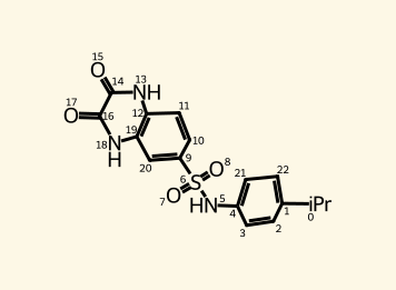 CC(C)c1ccc(NS(=O)(=O)c2ccc3[nH]c(=O)c(=O)[nH]c3c2)cc1